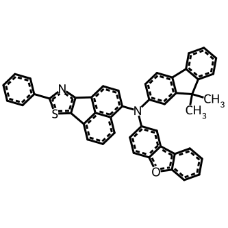 CC1(C)c2ccccc2-c2ccc(N(c3ccc4oc5ccccc5c4c3)c3ccc4c5c(cccc35)-c3sc(-c5ccccc5)nc3-4)cc21